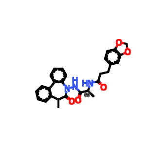 CC1C(=O)N(NC(=O)[C@H](C)NC(=O)CCc2ccc3c(c2)OCO3)c2ccccc2-c2ccccc21